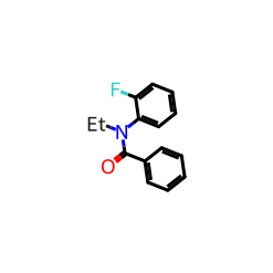 CCN(C(=O)c1ccccc1)c1ccccc1F